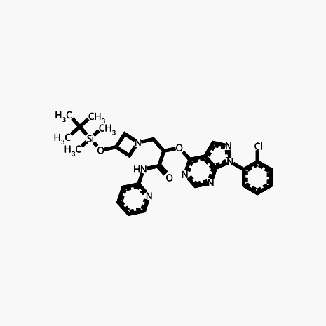 CC(C)(C)[Si](C)(C)OC1CN(CC(Oc2ncnc3c2cnn3-c2ccccc2Cl)C(=O)Nc2ccccn2)C1